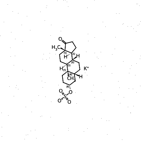 C[C@]12CC[C@@H](OS(=O)(=O)[O-])C[C@H]1CC[C@@H]1[C@@H]2CC[C@]2(C)C(=O)CC[C@@H]12.[K+]